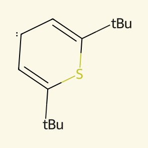 CC(C)(C)C1=C[C]C=C(C(C)(C)C)S1